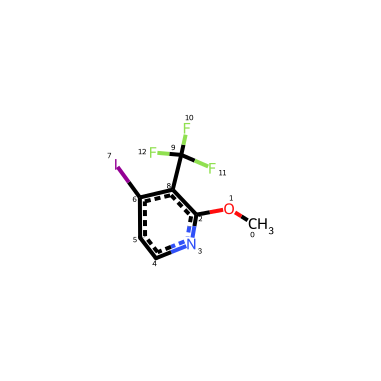 COc1nccc(I)c1C(F)(F)F